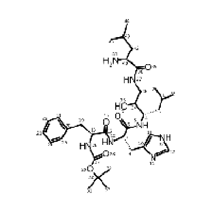 CC(C)C[C@H](NC(=O)[C@H](Cc1c[nH]cn1)NC(=O)[C@H](Cc1ccccc1)NC(=O)OC(C)(C)C)C(O)CNC(=O)[C@@H](N)CC(C)C